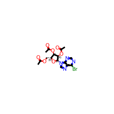 CC(=O)OC[C@H]1O[C@@H](n2cnc3c(Br)ncnc32)[C@H](OC(C)=O)[C@@H]1OC(C)=O